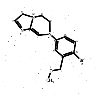 COCc1cc(N2C=C3N=CCN3CC2)ccc1Br